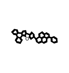 c1ccc(-c2ccc3ccc4c(-c5ccc6c(c5)oc5c6ccc6c7ccccc7c7ccccc7c65)ccc5ccc2c3c54)cc1